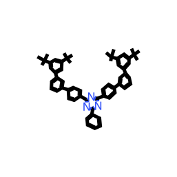 CC(C)(C)c1cc(-c2cccc(-c3ccc(-c4nc(-c5ccccc5)nc(-c5ccc(-c6cccc(-c7cc(C(C)(C)C)cc(C(C)(C)C)c7)c6)cc5)n4)cc3)c2)cc(C(C)(C)C)c1